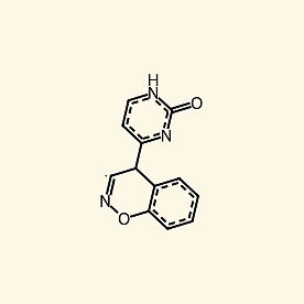 O=c1nc(C2[C]=NOc3ccccc32)cc[nH]1